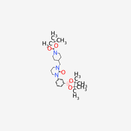 CC(C)(C)OC(=O)N1CCC(CN2CCCN(c3cccc(B4OC(C)(C)C(C)(C)O4)c3)C2=O)CC1